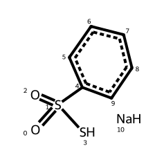 O=S(=O)(S)c1ccccc1.[NaH]